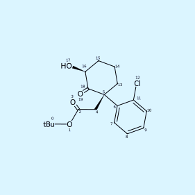 CC(C)(C)OC(=O)C[C@]1(c2ccccc2Cl)CCC[C@H](O)C1=O